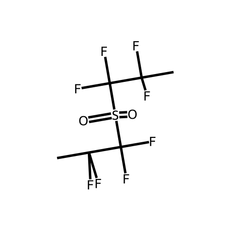 CC(F)(F)C(F)(F)S(=O)(=O)C(F)(F)C(C)(F)F